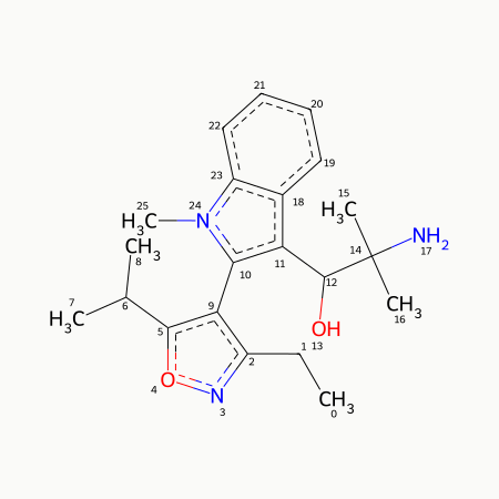 CCc1noc(C(C)C)c1-c1c(C(O)C(C)(C)N)c2ccccc2n1C